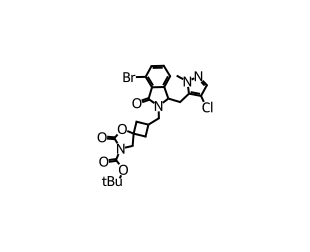 Cn1ncc(Cl)c1CC1c2cccc(Br)c2C(=O)N1CC1CC2(C1)CN(C(=O)OC(C)(C)C)C(=O)O2